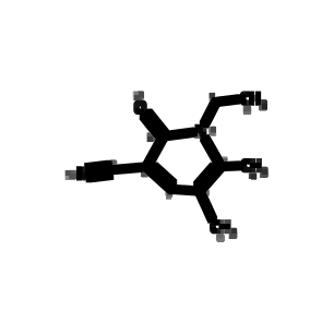 CCn1c(C)c(C)cc(C#N)c1=O